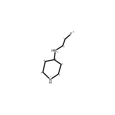 FCCNC1CCNCC1